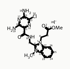 COC(=O)CCn1c(CNC(=O)c2nc(Cl)c(N)nc2N)[n+](C)c2ccccc21.[I-]